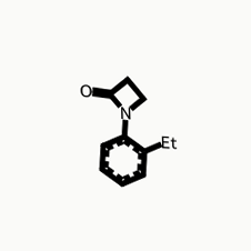 CCc1ccccc1N1CCC1=O